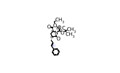 CCOC(=O)[C@@H]1C[C@@H](C/C=C/c2ccccc2)C(=O)N1C(=O)OC(C)(C)C